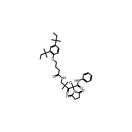 CCC(C)(C)c1ccc(OCCCC(=O)NCC(C)(C)C(=O)C(Cl)(C(=O)Nc2ccccc2)N2C(=O)CCC2=O)c(C(C)(C)CC)c1